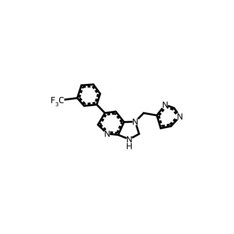 FC(F)(F)c1cccc(-c2cnc3c(c2)N(Cc2ccncn2)CN3)c1